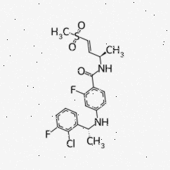 C[C@H](/C=C/S(C)(=O)=O)NC(=O)c1ccc(N[C@H](C)c2cccc(F)c2Cl)cc1F